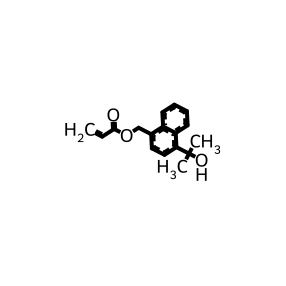 C=CC(=O)OCc1ccc(C(C)(C)O)c2ccccc12